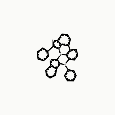 c1ccc(-c2nc3cccc4c3n2B2c3sc5ccccc5c3N(c3ccccc3)c3cccc-4c32)cc1